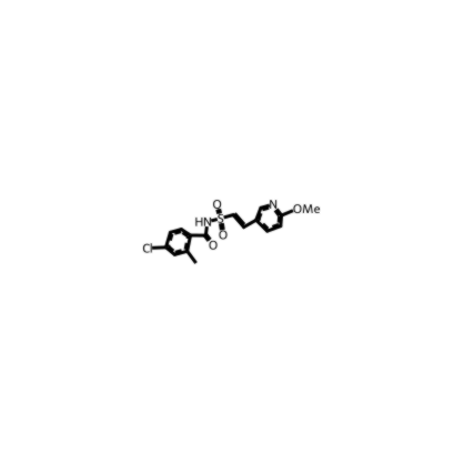 COc1ccc(C=CS(=O)(=O)NC(=O)c2ccc(Cl)cc2C)cn1